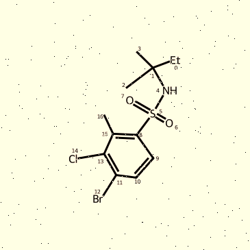 CCC(C)(C)NS(=O)(=O)c1ccc(Br)c(Cl)c1C